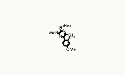 CCCCCCOc1nc(C)c(-c2ccc(OC)cc2Cl)nc1NC